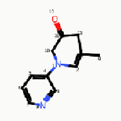 CC1=CN(c2cccnc2)CC(=O)C1